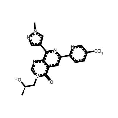 C[C@@H](O)Cn1cnc2c(-c3cnn(C)c3)nc(-c3ccc(C(Cl)(Cl)Cl)cn3)cc2c1=O